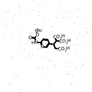 CC(C)(C)OC(=O)Nc1ccc(C(CC(=O)O)C(C(=O)O)C(=O)O)cn1